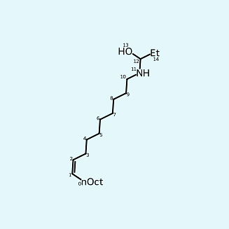 CCCCCCCC/C=C\CCCCCCCCNC(O)CC